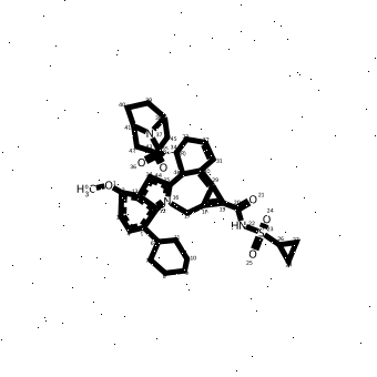 COc1ccc(C2CCCCC2)c2c1cc1n2CC2=C(C(=O)NS(=O)(=O)C3CC3)C2=C2C=CC[C@@H](C(=O)N3C4CCC3CC(=O)C4)C21